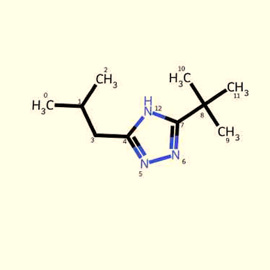 CC(C)Cc1nnc(C(C)(C)C)[nH]1